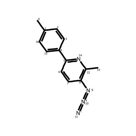 Cc1ccc(-c2ccc(N=[N+]=[N-])c(C)n2)cc1